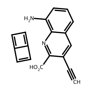 C#Cc1cc2cccc(N)c2nc1C(=O)O.c1cc2ccc1-2